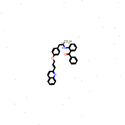 O=C(c1ccccc1)c1ccccc1N[C@@H](Cc1ccc(OC/C=C/c2ccc3ccccc3n2)cc1)C(=O)O